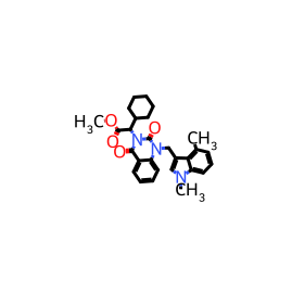 COC(=O)C(C1CCCCC1)n1c(=O)c2ccccc2n(Cc2cn(C)c3cccc(C)c23)c1=O